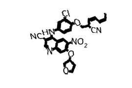 C/C=C\C=C/C(C#N)COc1ccc(Nc2c(C#N)cnc3cc(OC4CCOC4)c([N+](=O)[O-])cc23)cc1Cl